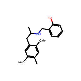 COc1cc(CC(C)NCc2ccccc2O)c(OC)cc1C